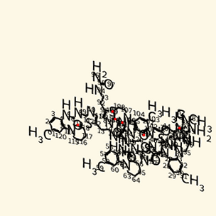 Cc1ccc(NC(=O)Nc2ncc(CCNC(=O)NC(C(=O)ON(C(=O)Nc3ccc(C)cc3N3CCCCC3)c3ncc(CCNC(=N)N)s3)(N(C(=O)Nc3ccc(C)cc3N3CCCCC3)c3ncc(CCNC(=O)NCCN(C)C)s3)N(C(=O)Nc3ncc(CCNC(N)=O)s3)c3ccc(C)cc3N3CCCCC3)s2)c(N2CCCCC2)c1